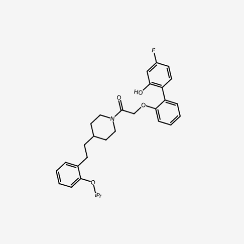 CC(C)Oc1ccccc1CCC1CCN(C(=O)COc2ccccc2-c2ccc(F)cc2O)CC1